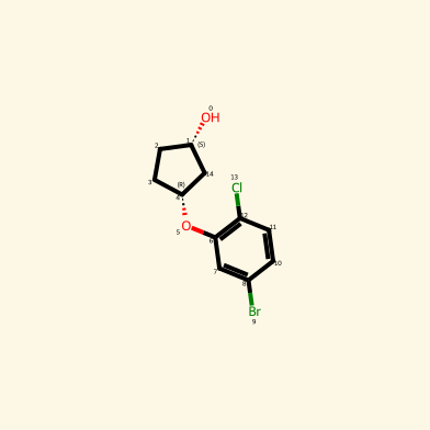 O[C@H]1CC[C@@H](Oc2cc(Br)ccc2Cl)C1